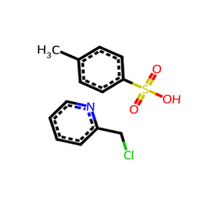 Cc1ccc(S(=O)(=O)O)cc1.ClCc1ccccn1